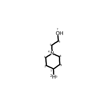 [2H]C1CCN(CCO)CC1